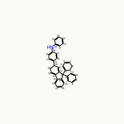 C1=CCCC(C2(c3ccccc3)C3=CC(c4ccc(Nc5ccccc5)cc4)CC=C3c3ccccc32)=C1